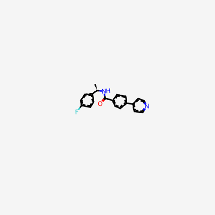 C[C@@H](NC(=O)c1ccc(-c2ccncc2)cc1)c1ccc(F)cc1